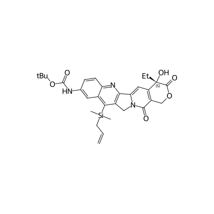 C=CC[Si](C)(C)c1c2c(nc3ccc(NC(=O)OC(C)(C)C)cc13)-c1cc3c(c(=O)n1C2)COC(=O)[C@]3(O)CC